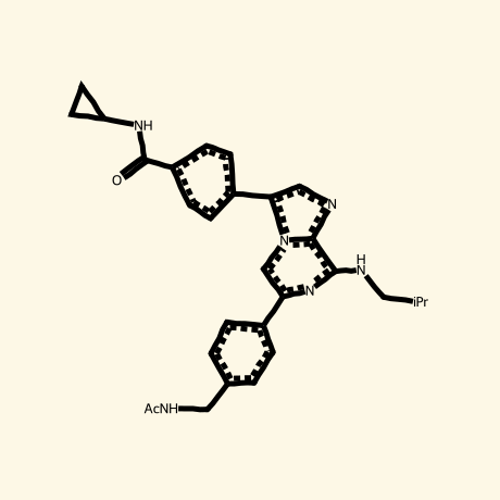 CC(=O)NCc1ccc(-c2cn3c(-c4ccc(C(=O)NC5CC5)cc4)cnc3c(NCC(C)C)n2)cc1